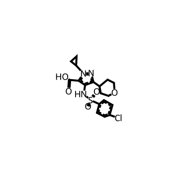 O=C(O)c1c(NS(=O)(=O)c2ccc(Cl)cc2)c(C2CCOCC2)nn1C1CC1